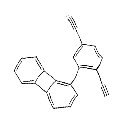 N#Cc1ccc(C#N)c(-c2cccc3c2-c2ccccc2-3)c1